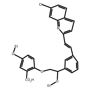 CCOc1ccc(OCC(OCC)c2cccc(/C=C/c3ccc4ccc(Cl)cc4n3)c2)c(C(=O)O)c1